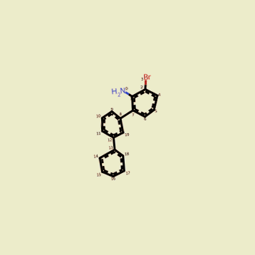 Nc1c(Br)cccc1-c1cccc(-c2ccccc2)c1